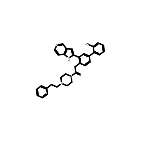 O=C(Cc1ccc(-c2ccccc2O)cc1-c1cc2cnccc2[nH]1)N1CCN(CCc2ccccc2)CC1